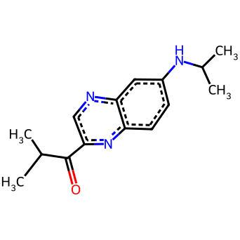 CC(C)Nc1ccc2nc(C(=O)C(C)C)cnc2c1